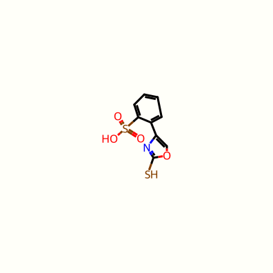 O=S(=O)(O)c1ccccc1-c1coc(S)n1